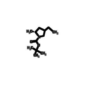 CCC1C[C@@H](C)N(C(=O)OC(C)(C)C)C1